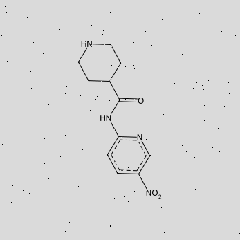 O=C(Nc1ccc([N+](=O)[O-])cn1)C1CCNCC1